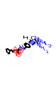 Cc1nc(N)nc(N)c1N1CCN(c2ccc(/C=N/OCC(=O)OCCc3ccccc3)cc2)CC1